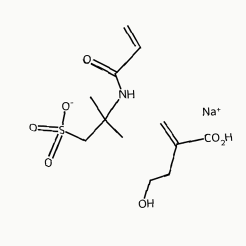 C=C(CCO)C(=O)O.C=CC(=O)NC(C)(C)CS(=O)(=O)[O-].[Na+]